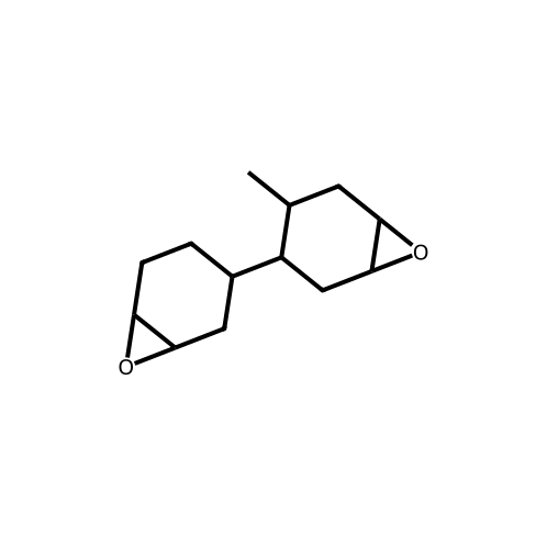 CC1CC2OC2CC1C1CCC2OC2C1